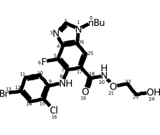 CCCCn1cnc2c(F)c(Nc3ccc(Br)cc3Cl)c(C(=O)NOCCO)cc21